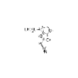 CCOC(=O)C1C2COCC21OC(=O)C=[N+]=[N-]